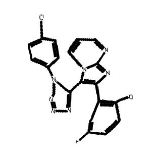 Fc1ccc(Cl)c(-c2nc3ncccn3c2-c2nnnn2-c2ccc(Cl)cc2)c1